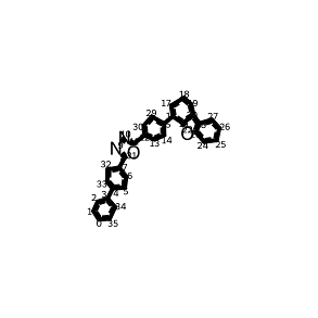 c1ccc(-c2ccc(-c3nnc(-c4ccc(-c5cccc6c5oc5ccccc56)cc4)o3)cc2)cc1